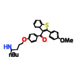 CCCCC(=N)CCCOc1ccc(C(=O)c2c(-c3ccc(OC)cc3)sc3ccccc23)cc1